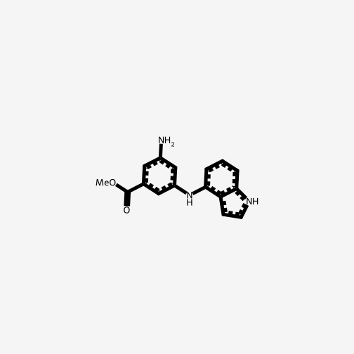 COC(=O)c1cc(N)cc(Nc2cccc3[nH]ccc23)c1